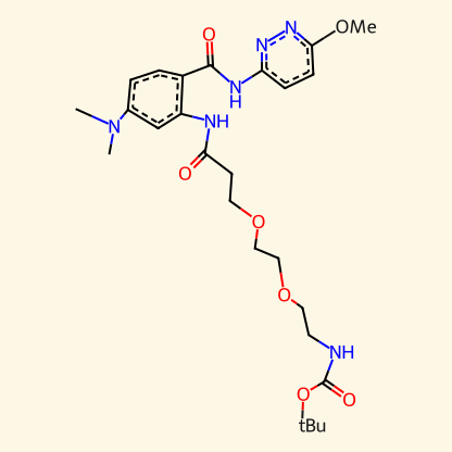 COc1ccc(NC(=O)c2ccc(N(C)C)cc2NC(=O)CCOCCOCCNC(=O)OC(C)(C)C)nn1